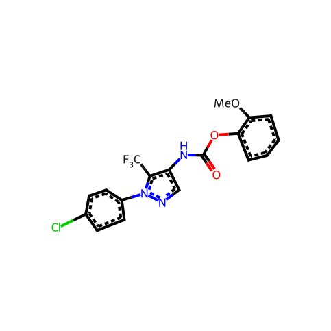 COc1ccccc1OC(=O)Nc1cnn(-c2ccc(Cl)cc2)c1C(F)(F)F